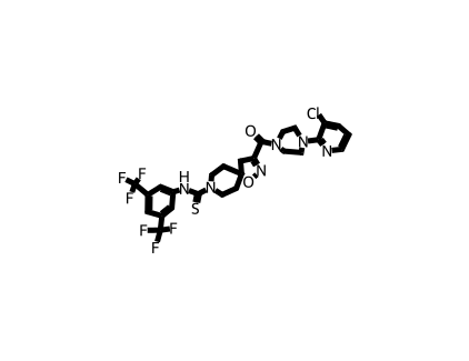 O=C(C1=NOC2(CCN(C(=S)Nc3cc(C(F)(F)F)cc(C(F)(F)F)c3)CC2)C1)N1CCN(c2ncccc2Cl)CC1